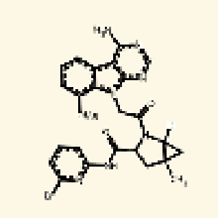 COc1cccc2c3c(N)ncnc3n(CC(=O)N3[C@H](C(=O)Nc4cccc(Br)n4)C[C@@]4(C)C[C@@H]34)c12